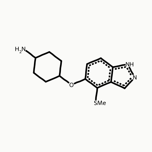 CSc1c(OC2CCC(N)CC2)ccc2[nH]ncc12